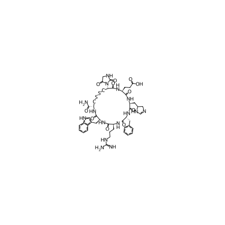 N=C(N)NCCC[C@@H]1NC(=O)[C@@H](Cc2ccccc2)NC(=O)[C@H](CC2CN=CN2)NC(=O)[C@H](CCC(=O)O)NC(=O)[C@@H](N2C(=O)CNC2=O)CSSC[C@@H](C(N)=O)NC(=O)[C@H](Cc2c[nH]c3ccccc23)NC1=O